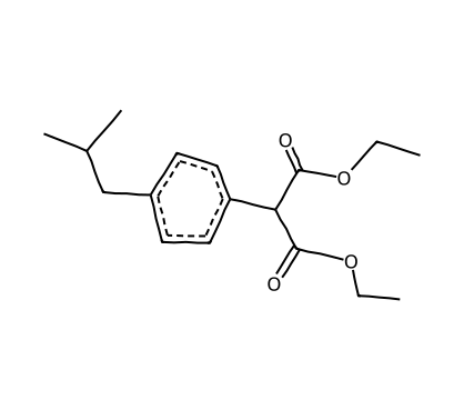 CCOC(=O)C(C(=O)OCC)c1ccc(CC(C)C)cc1